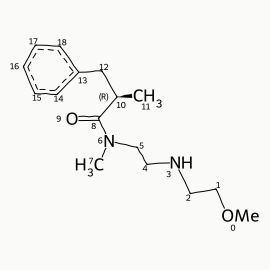 COCCNCCN(C)C(=O)[C@H](C)Cc1ccccc1